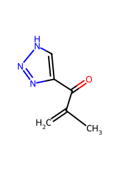 C=C(C)C(=O)c1c[nH]nn1